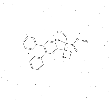 C=CC(N)(C(=O)OC)C1(c2ccc(-c3ccccc3)c(-c3ccccc3)c2)OCO1